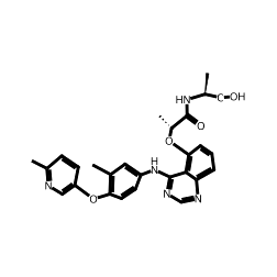 Cc1ccc(Oc2ccc(Nc3ncnc4cccc(O[C@H](C)C(=O)N[C@@H](C)CO)c34)cc2C)cn1